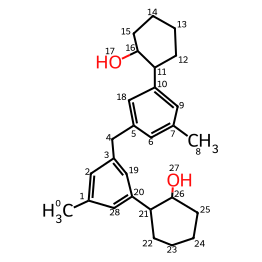 Cc1cc(Cc2cc(C)cc(C3CCCCC3O)c2)cc(C2CCCCC2O)c1